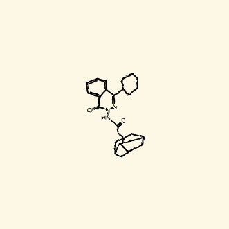 O=C(CC12CC3CC(CC(C3)C1)C2)Nn1nc(C2CCCCC2)c2ccccc2c1=O